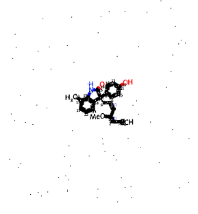 C#C/C=C(\C=C/C[C@@]1(c2ccc(O)cc2)C(=O)Nc2c(C)cccc21)OC